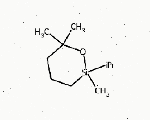 CC(C)[Si]1(C)CCCC(C)(C)O1